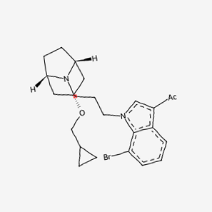 CC(=O)c1cn(CCCN2[C@@H]3CC[C@H]2C[C@@H](OCC2CC2)C3)c2c(Br)cccc12